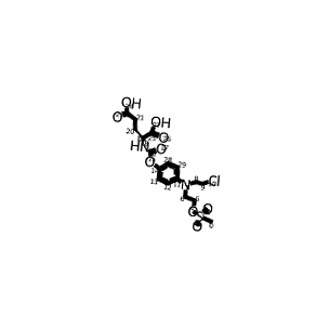 CS(=O)(=O)OCCN(CCCl)c1ccc(OC(=O)N[C@@H](CCC(=O)O)C(=O)O)cc1